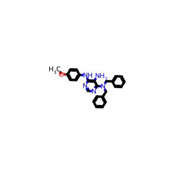 COc1[c]cc(Nc2ncnc(N(Cc3ccccc3)Cc3ccccc3)c2N)cc1